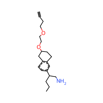 C#CCCOCCO[C@H]1CCc2cc(C(CN)CCC)ccc2C1